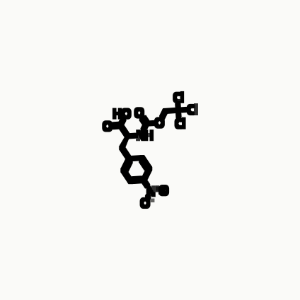 O=C(N[C@@H](Cc1ccc([N+](=O)[O-])cc1)C(=O)O)OCC(Cl)(Cl)Cl